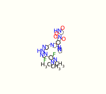 Cc1nc2c(F)cc(-c3nc(Nc4ccc(CN5CCC(CN6C7CCC6CN(c6ccc8c(c6)C(=O)N(C6CCC(=O)NC6=O)C8=O)C7)CC5)cn4)ncc3F)cc2n1C(C)C